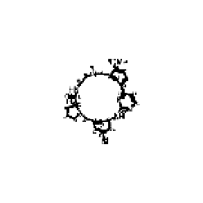 COc1ccc2cc1CN(C)CCNC(=O)[C@@H]1CCCN1Cc1cc(Br)cc(c1)Nc1nccc-2n1